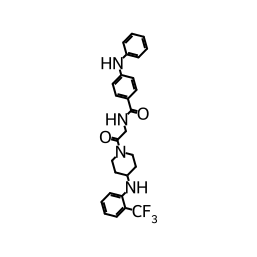 O=C(NCC(=O)N1CCC(Nc2ccccc2C(F)(F)F)CC1)c1ccc(Nc2ccccc2)cc1